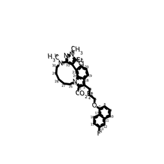 CCOC(=O)c1c(CCCOc2cccc3cc(F)ccc23)c2ccc(Cl)c3c2n1CCCCCN(C)c1nn(C)c(CC)c1-3